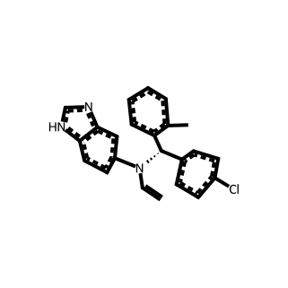 C=CN(c1ccc2[nH]cnc2c1)[C@@H](c1ccc(Cl)cc1)c1ccccc1C